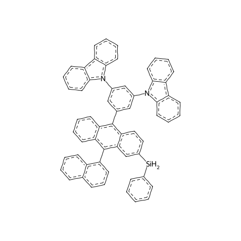 c1ccc([SiH2]c2ccc3c(-c4cc(-n5c6ccccc6c6ccccc65)cc(-n5c6ccccc6c6ccccc65)c4)c4ccccc4c(-c4cccc5ccccc45)c3c2)cc1